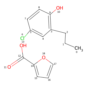 CCCc1cc(Cl)ccc1O.O=C(O)c1ccco1